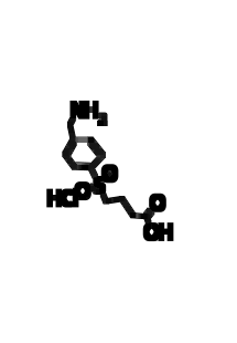 Cl.NCc1ccc(S(=O)(=O)CCCC(=O)O)cc1